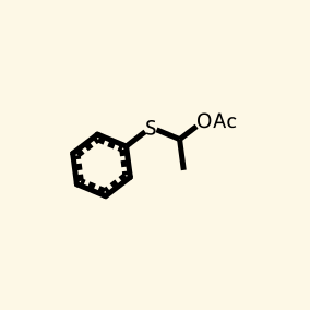 CC(=O)OC(C)Sc1ccccc1